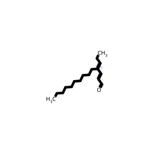 CC/C=C(/C=CC=O)CCCCCCCCCC